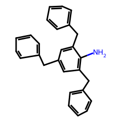 Nc1c(Cc2ccccc2)cc(Cc2ccccc2)cc1Cc1ccccc1